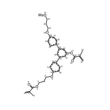 C=C(C)C(=O)OCCCOc1ccc(-c2cc(OC(=O)C(=C)C)cc(-c3ccc(OCCCOC)cc3)c2)cc1